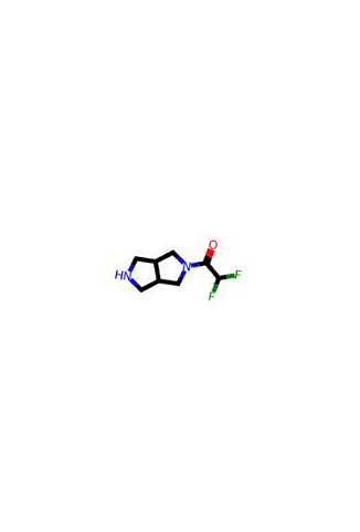 O=C(C(F)F)N1CC2CNCC2C1